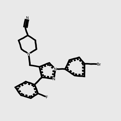 N#CC1CCN(Cc2cn(-c3ccc(Br)cc3)nc2-c2ccccc2F)CC1